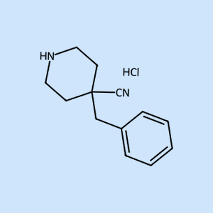 Cl.N#CC1(Cc2ccccc2)CCNCC1